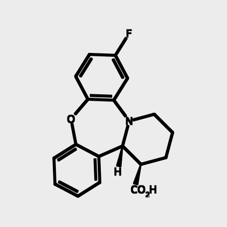 O=C(O)[C@@H]1CCCN2c3cc(F)ccc3Oc3ccccc3[C@@H]12